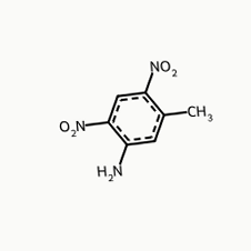 Cc1cc(N)c([N+](=O)[O-])cc1[N+](=O)[O-]